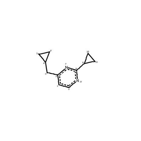 [c]1cc(CC2CC2)nc(C2CC2)n1